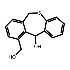 OCc1cccc2c1C(O)c1ccccc1SC2